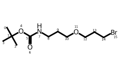 CC(C)(C)OC(=O)NCCCOCCCBr